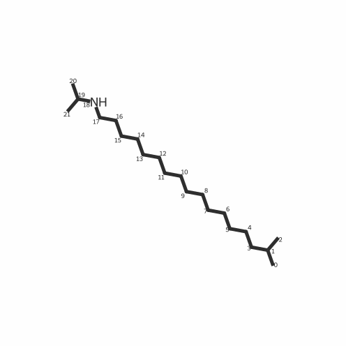 CC(C)CCCCCCCCCCCCCCCNC(C)C